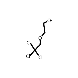 [O]CCOCC(Cl)(Cl)Cl